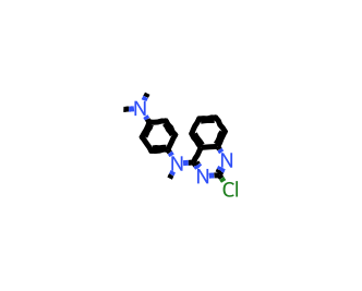 CN(C)c1ccc(N(C)c2nc(Cl)nc3ccccc23)cc1